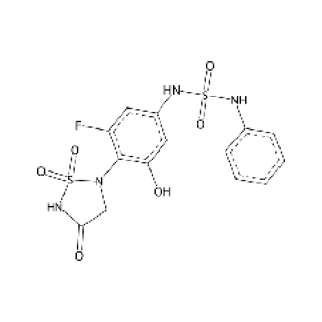 O=C1CN(c2c(O)cc(NS(=O)(=O)Nc3ccccc3)cc2F)S(=O)(=O)N1